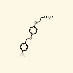 CCOC(=O)CCOc1ccc(OCc2ccc(C(F)(F)F)cc2)cc1